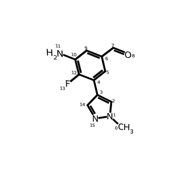 Cn1cc(-c2cc(C=O)cc(N)c2F)cn1